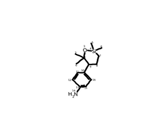 CC1(C)O[Si](C)(C)CCC1c1ccc(N)cc1